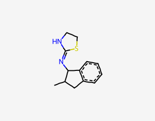 CC1Cc2ccccc2C1N=C1NCCS1